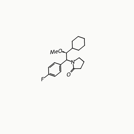 CO[C@@H](C1CCCCC1)C(c1ccc(F)cc1)N1CCCC1=O